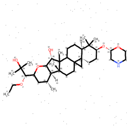 CCO[C@@H](C1C[C@@H](C)[C@H]2C(O1)[C@H](O)C1(C)C3CC[C@H]4C(C)(C)[C@@H](O[C@H]5CNCCO5)CC[C@@]45CC35CC[C@]21C)C(C)(C)O